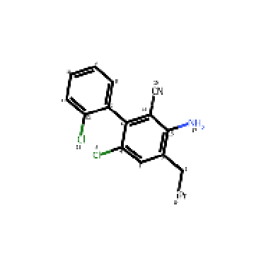 CC(C)Cc1cc(Cl)c(-c2ccccc2Cl)c(C#N)c1N